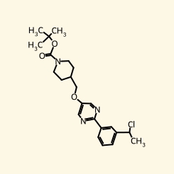 CC(Cl)c1cccc(-c2ncc(OCC3CCN(C(=O)OC(C)(C)C)CC3)cn2)c1